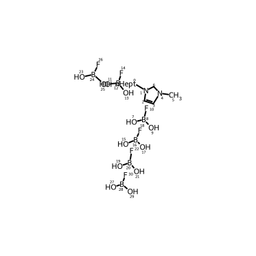 CCCCCCCN1C=CN(C)C1.OB(O)F.OB(O)F.OB(O)F.OB(O)F.OB(O)F.OB(O)F